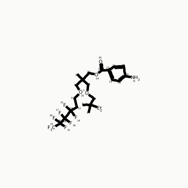 CCC(C)(C)COCC(C)(COCCC(F)(F)C(F)(F)C(F)(F)C(F)(F)F)COC(=O)c1ccc(N)cc1